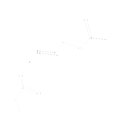 CCC(=O)OC/N=N/C(C)(C)OC(=O)CC